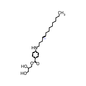 CCCCCCCCC/C=C/CCCNc1ccc(C(=O)OCC(O)CO)cc1